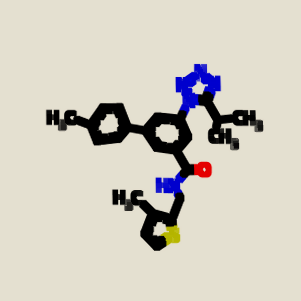 Cc1ccc(-c2cc(C(=O)NCc3sccc3C)cc(-n3nnnc3C(C)C)c2)cc1